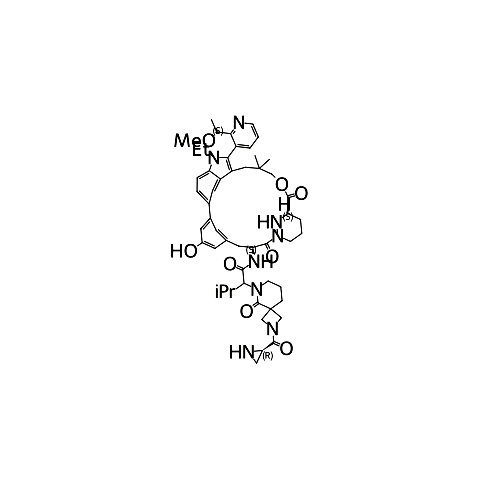 CCn1c(-c2cccnc2[C@H](C)OC)c2c3cc(ccc31)-c1cc(O)cc(c1)C[C@H](NC(=O)C(C(C)C)N1CCCC3(CN(C(=O)[C@H]4CN4)C3)C1=O)C(=O)N1CCC[C@H](N1)C(=O)OCC(C)(C)C2